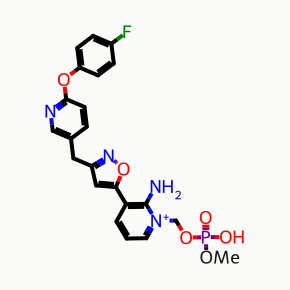 COP(=O)(O)OC[n+]1cccc(-c2cc(Cc3ccc(Oc4ccc(F)cc4)nc3)no2)c1N